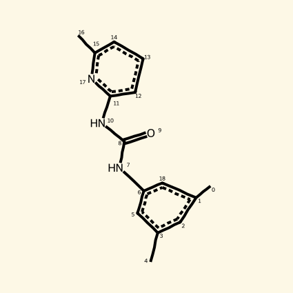 Cc1cc(C)cc(NC(=O)Nc2cccc(C)n2)c1